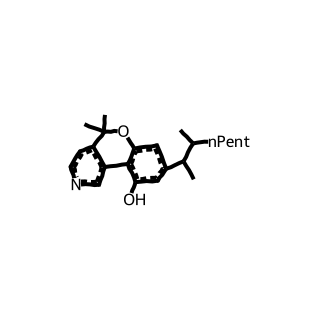 CCCCCC(C)C(C)c1cc(O)c2c(c1)OC(C)(C)c1ccncc1-2